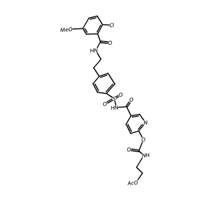 COc1ccc(Cl)c(C(=O)NCCc2ccc(S(=O)(=O)NC(=O)c3ccc(OC(=O)NCCOC(C)=O)nc3)cc2)c1